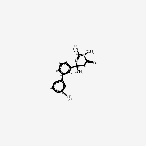 CN1C(=O)CC(C)(c2cccc(-c3cccc(C(F)(F)F)c3)c2)N=C1N